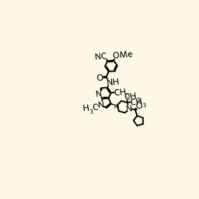 COc1ccc(C(=O)Nc2cnc3c(c([C@@H]4CCN(C(=O)C5CCCC5)C(C)(C)C4)cn3C)c2C)cc1C#N